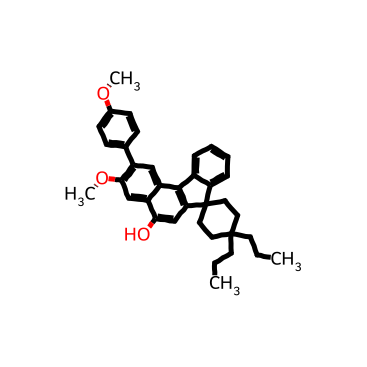 CCCC1(CCC)CCC2(CC1)c1ccccc1-c1c2cc(O)c2cc(OC)c(-c3ccc(OC)cc3)cc12